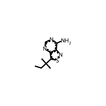 CCC(C)(C)c1snc2c(N)ncnc12